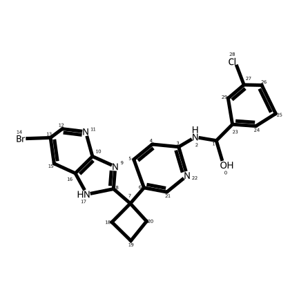 OC(Nc1ccc(C2(c3nc4ncc(Br)cc4[nH]3)CCC2)cn1)c1cccc(Cl)c1